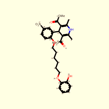 COC(=O)C1=C(C)NC(C)=C(C(=O)OC)C1c1cc([N+](=O)[O-])ccc1OCCCCCCOc1ccccc1O